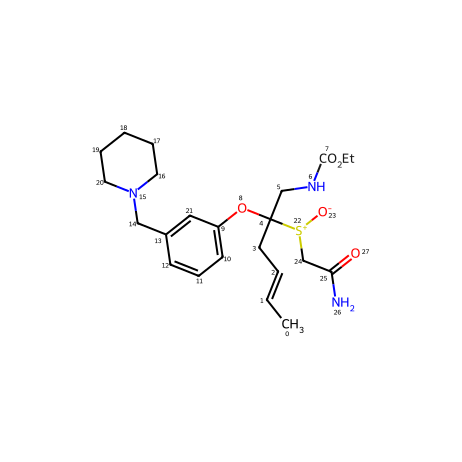 CC=CCC(CNC(=O)OCC)(Oc1cccc(CN2CCCCC2)c1)[S+]([O-])CC(N)=O